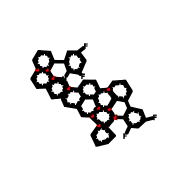 Fc1cc(F)c(N(c2ccccc2)c2ccc3ccc4c(N(c5ccccc5)c5c(F)cc(F)cc5-c5ccccc5-c5ccccc5)ccc5ccc2c3c54)c(-c2ccccc2-c2ccccc2)c1